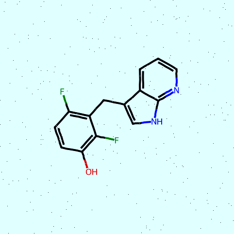 Oc1ccc(F)c(Cc2c[nH]c3ncccc23)c1F